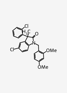 COc1ccc(CN2C(=O)C(C)(c3ccccc3Cl)c3cc(Cl)ccc32)c(OC)c1